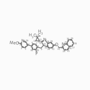 COc1ccc(-c2ccc(CC3C([C@@H]4CC4(C)C)=Nc4cc(OCc5ccc6ccccc6n5)ccc43)c(F)c2)cn1